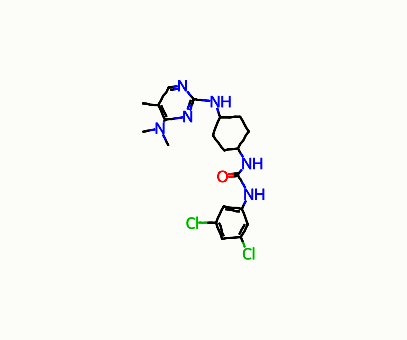 Cc1cnc(NC2CCC(NC(=O)Nc3cc(Cl)cc(Cl)c3)CC2)nc1N(C)C